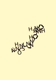 CC1N=C(C(=O)NCN(C)C)SC1c1ccnc(NCc2ccc(C(=O)Nc3ccccc3N)cc2)n1